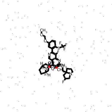 COCOc1ccc(SC(F)(F)F)c(-c2ncc3c(N4C[C@H]5CC[C@@H](C4)N5C(=O)OC(C)(C)C)nc(OCC45CCCN4CC(F)C5)nc3c2F)c1